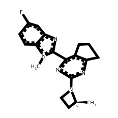 C[C@H]1CCN1c1nc2c(c(-c3nc4cc(F)ccc4n3C)n1)CCC2